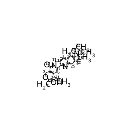 C=C1OCc2c(cc3n(c2=O)Cc2cc4cc([N+](C)(C)C(C)C)c(F)cc4nc2-3)[C@@]1(O)CC